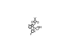 CC1(C)C2C(=O)N(Cc3cc4nccc(-c5cc(F)cnc5OC5CCCNC5)c4s3)C(=O)C21